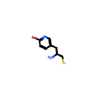 NC(CS)Cc1ccc(Br)nc1